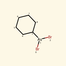 Br[As](Br)C1CCCCC1